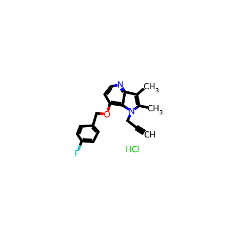 C#CCn1c(C)c(C)c2nccc(OCc3ccc(F)cc3)c21.Cl